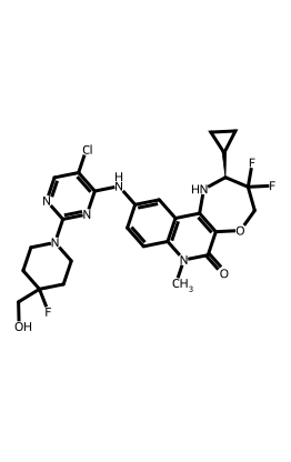 Cn1c(=O)c2c(c3cc(Nc4nc(N5CCC(F)(CO)CC5)ncc4Cl)ccc31)N[C@@H](C1CC1)C(F)(F)CO2